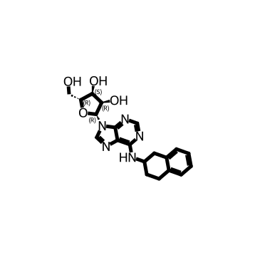 OC[C@H]1O[C@@H](n2cnc3c(NC4CCc5ccccc5C4)ncnc32)[C@H](O)[C@@H]1O